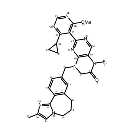 CCN1C(=O)CN(Cc2ccc3c(c2)CCCn2cc(C)nc2-3)c2nc(-c3c(OC)ncnc3C3CC3)ncc21